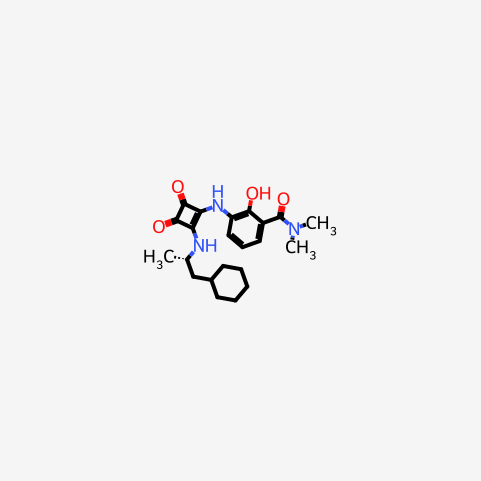 C[C@@H](CC1CCCCC1)Nc1c(Nc2cccc(C(=O)N(C)C)c2O)c(=O)c1=O